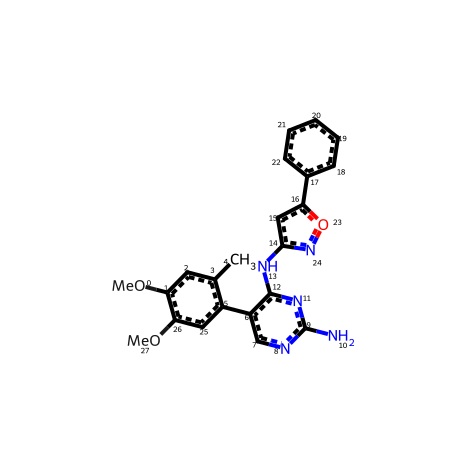 COc1cc(C)c(-c2cnc(N)nc2Nc2cc(-c3ccccc3)on2)cc1OC